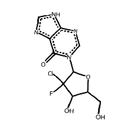 O=c1c2nc[nH]c2ncn1C1OC(CO)C(O)C1(F)Cl